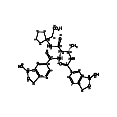 C[C@H](NC(=O)c1ccc2c(c1)B(O)OC2)[C@H](NC(=O)c1ccc2c(c1)B(O)OC2)C(=O)NC1(CC(=O)O)CCCC1